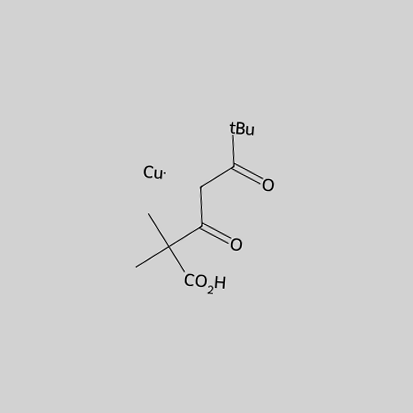 CC(C)(C)C(=O)CC(=O)C(C)(C)C(=O)O.[Cu]